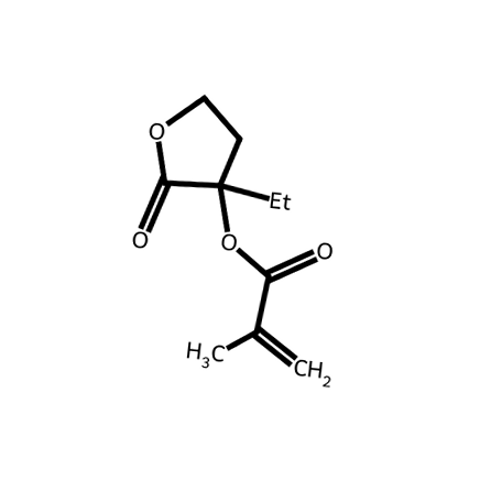 C=C(C)C(=O)OC1(CC)CCOC1=O